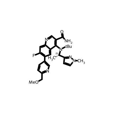 COCc1ccc(-c2cc3c(N([C@@H](C)c4ccn(C)n4)C(C)(C)C)c(C(N)=O)cnc3cc2F)cn1